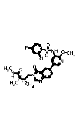 CNC(=O)[C@@H](C)[C@@H](C)Cn1cnc2ccc(-c3cnc(OC)c(NS(=O)(=O)c4ccc(F)cc4Cl)c3)cc2c1=O